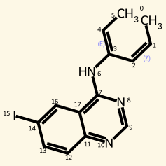 C/C=C\C(=C/C)Nc1ncnc2ccc(I)cc12